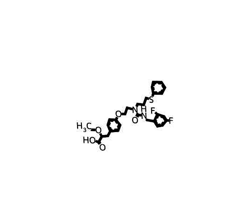 CCOC(Cc1ccc(OCCN(CCCSc2ccccc2)C(=O)NCc2ccc(F)cc2F)cc1)C(=O)O